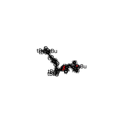 CC(C1=CC=CCC1)c1cc(CN(C)Cc2cc(C(C)c3ccccc3)c(OC(=O)OC(C)(C)C)c(C(C)c3ccccc3)c2)cc(C(C)c2ccc(CC(C)(C)c3cc(CCC(=O)OC4CC(C)(C)N(CCOC(=O)CCc5cc(C(C)(C)C)c(OC(=O)OC(C)(C)C)c(C(C)(C)C)c5)C(C)(C)C4)cc(C(C)(C)C)c3OC(=O)OC(C)(C)C)cc2)c1OC(=O)OC(C)(C)C